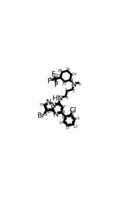 CN(CCCNc1cc(-c2ccccc2Cl)nc2c(Br)cnn12)C1CCCC(C(F)(F)F)C1